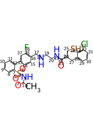 CC(=O)NS(=O)(=O)c1ccccc1-c1ccc(CNCCNC(=O)[C@@H](CS)Cc2cccc(Cl)c2)c(F)c1